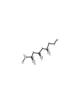 CCCC(=O)CC(=O)CC(=O)OC